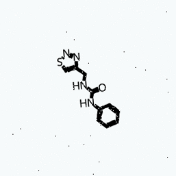 O=C(NCc1csnn1)Nc1ccccc1